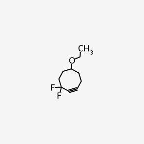 CCOC1CCC#CC(F)(F)CC1